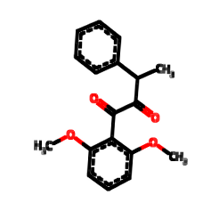 COc1cccc(OC)c1C(=O)C(=O)C(C)c1ccccc1